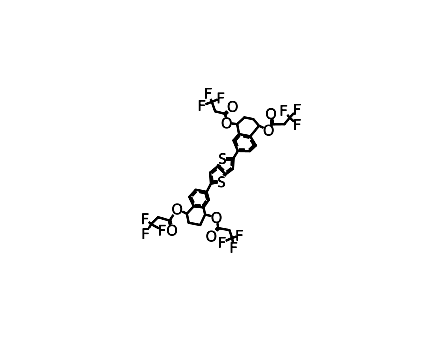 O=C(CC(F)(F)F)OC1CCC(OC(=O)CC(F)(F)F)c2cc(-c3cc4sc(-c5ccc6c(c5)C(OC(=O)CC(F)(F)F)CCC6OC(=O)CC(F)(F)F)cc4s3)ccc21